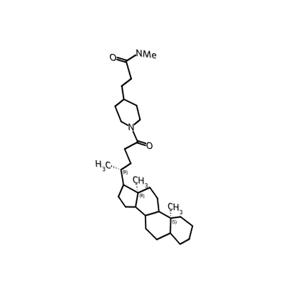 CNC(=O)CCC1CCN(C(=O)CC[C@@H](C)C2CCC3C4CCC5CCCC[C@]5(C)C4CC[C@@]32C)CC1